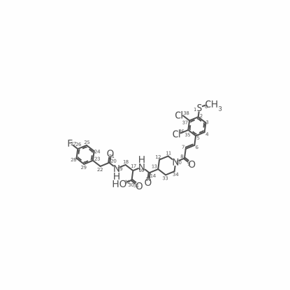 CSc1ccc(C=CC(=O)N2CCC(C(=O)NC(CNC(=O)Cc3ccc(F)cc3)C(=O)O)CC2)c(Cl)c1Cl